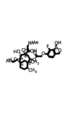 CNCC(O)[C@]1(C)C[C@@H](OC(=O)COc2ccc3c(c2F)B(O)OC3)[C@@]2(C)C[C@](CCC(C)=O)(CC[C@H]2C)[C@@H](C)[C@@H]1O